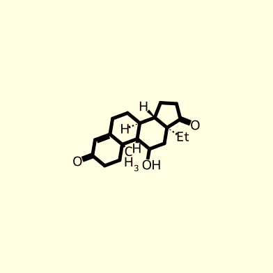 CC[C@]12CC(O)[C@H]3[C@@H](CCC4=CC(=O)CC[C@@]43C)[C@@H]1CCC2=O